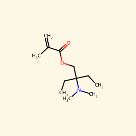 C=C(C)C(=O)OCC(CC)(CC)N(C)C